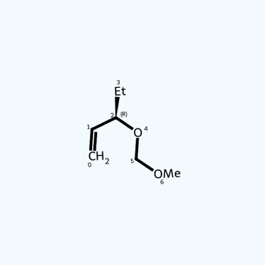 C=C[C@@H](CC)OCOC